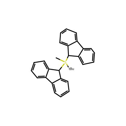 CC(C)(C)S(C)(C1c2ccccc2-c2ccccc21)C1c2ccccc2-c2ccccc21